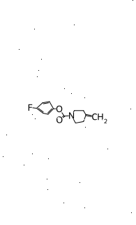 C=C1CCN(C(=O)Oc2ccc(F)cc2)CC1